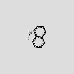 [Cl][Pd].c1ccc2ccccc2c1